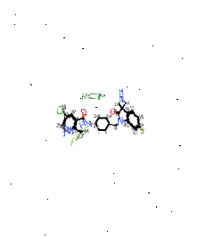 Cl.O=C(N[C@H]1CC[C@H](CN2C(=O)C3(CNC3)c3ccc(F)cc32)CC1)c1cc(Cl)cnc1C(F)F